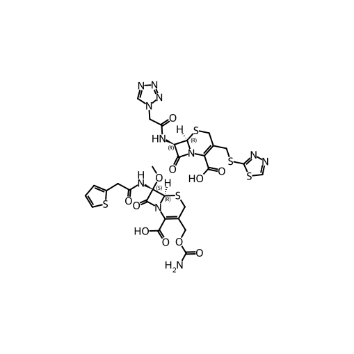 CO[C@@]1(NC(=O)Cc2cccs2)C(=O)N2C(C(=O)O)=C(COC(N)=O)CS[C@@H]21.O=C(Cn1cnnn1)N[C@@H]1C(=O)N2C(C(=O)O)=C(CSc3nncs3)CS[C@H]12